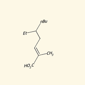 CCCCC(CC)CC=C(C)C(=O)O